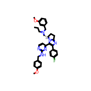 CCCN(Cc1cccc(OC)c1)C[C@@H]1CCc2nc(-c3ccc(F)cc3)c(-c3ccnc(NCc4ccc(OC)cc4)n3)n21